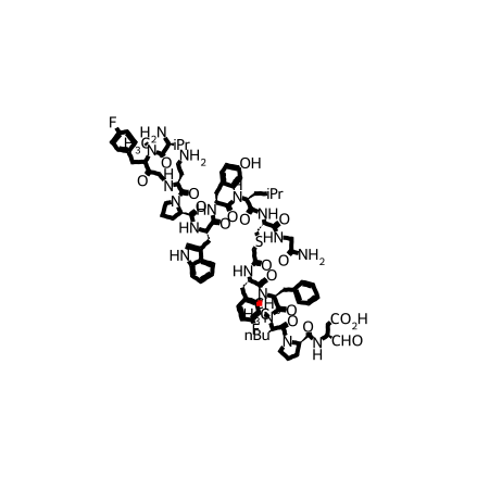 CCCC[C@@H](C(=O)N1CCC[C@@H]1C(=O)N[C@H](C=O)CC(=O)O)N(C)C(=O)[C@H](Cc1ccccc1)N(C)C(=O)[C@H](Cc1ccc(F)cc1)NC(=O)CSC[C@H](NC(=O)[C@H](CC(C)C)NC(=O)[C@H](Cc1ccc(O)cc1)NC(=O)[C@H](Cc1c[nH]c2ccccc12)NC(=O)[C@H]1CCCN1C(=O)[C@H](CCN)NCC(=O)C(Cc1ccc(F)cc1)N(C)C(=O)[C@@H](N)C(C)C)C(=O)NCC(N)=O